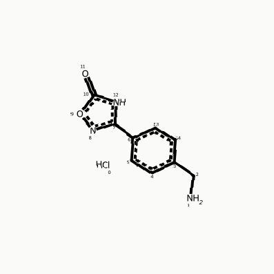 Cl.NCc1ccc(-c2noc(=O)[nH]2)cc1